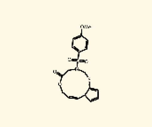 COc1ccc(S(=O)(=O)N2CSC3=CC=CC3/C=C\COC(=O)C2)cc1